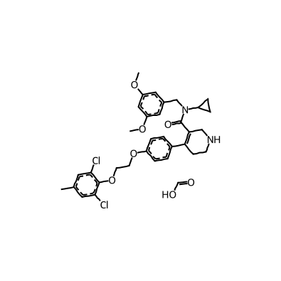 COc1cc(CN(C(=O)C2=C(c3ccc(OCCOc4c(Cl)cc(C)cc4Cl)cc3)CCNC2)C2CC2)cc(OC)c1.O=CO